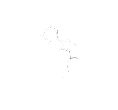 CCOC(=O)c1ncn(-c2cccc(Cl)c2)n1